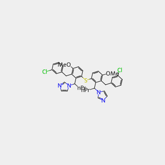 CCCC(c1c(Sc2ccc(OC)c(Cc3cccc(Cl)c3)c2C(CCC)n2ccnc2)ccc(OC)c1Cc1cccc(Cl)c1)n1ccnc1